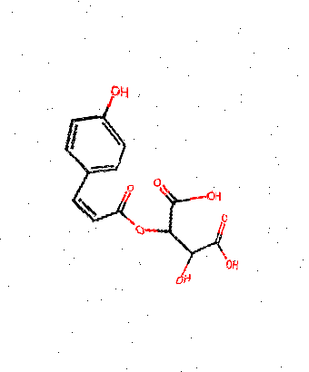 O=C(/C=C\c1ccc(O)cc1)OC(C(=O)O)C(O)C(=O)O